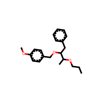 CCCOC(C)C(Cc1ccccc1)OCc1ccc(OC)cc1